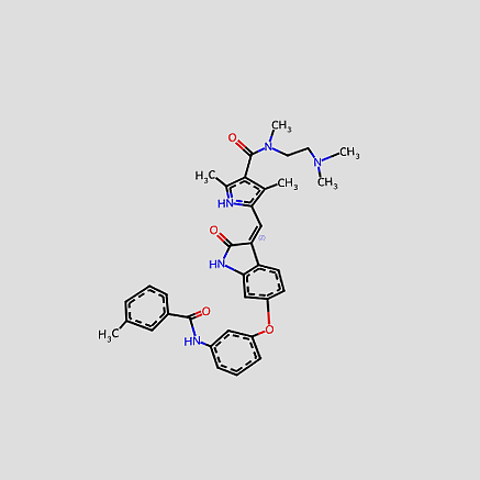 Cc1cccc(C(=O)Nc2cccc(Oc3ccc4c(c3)NC(=O)/C4=C\c3[nH]c(C)c(C(=O)N(C)CCN(C)C)c3C)c2)c1